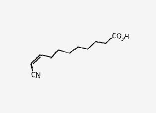 N#C/C=C\CCCCCCCC(=O)O